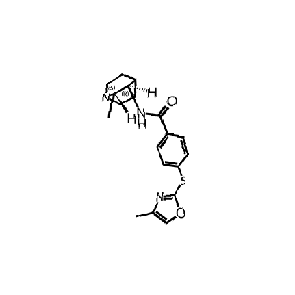 Cc1coc(Sc2ccc(C(=O)N[C@@H]3C4CCN(CC4)[C@H]3C)cc2)n1